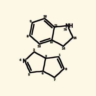 C1=CC2CN=CC2C1.c1ccc2c(c1)CCN2